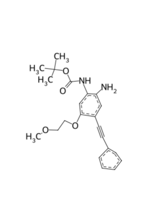 COCCOc1cc(NC(=O)OC(C)(C)C)c(N)cc1C#Cc1ccccc1